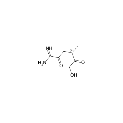 C[C@@H](CC(=O)C(=N)N)C(=O)CO